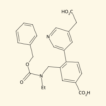 CCN(Cc1cc(C(=O)O)ccc1-c1cncc(CC(=O)O)c1)C(=O)OCc1ccccc1